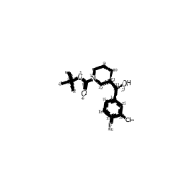 CC(C)(C)OC(=O)N1CCC[C@@H]([C@@H](O)c2ccc(F)c(Cl)c2)C1